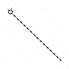 C#CC#CC#CC#CC#CC#CC#CC#CC#CC#CC#CC#CC#CC#CC#Cc1ccc(C)c(C)c1C(F)(F)F